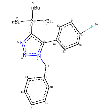 CCC[CH2][Sn]([CH2]CCC)([CH2]CCC)[c]1nnn(Cc2ccccc2)c1-c1ccc(F)cc1